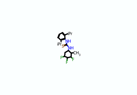 CC(C)c1cccc(C(C)C)c1NC(=S)NC1CC(F)C(F)C(F)C1C